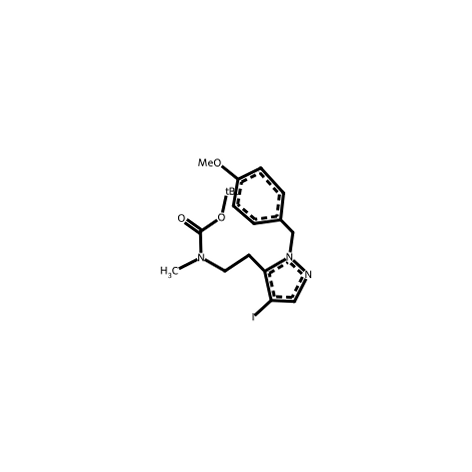 COc1ccc(Cn2ncc(I)c2CCN(C)C(=O)OC(C)(C)C)cc1